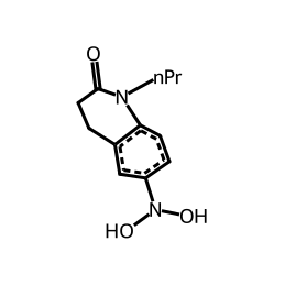 CCCN1C(=O)CCc2cc(N(O)O)ccc21